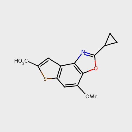 COc1cc2sc(C(=O)O)cc2c2nc(C3CC3)oc12